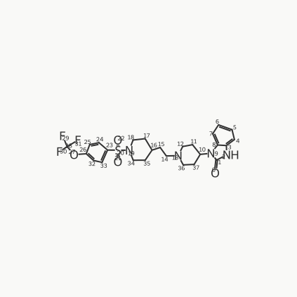 O=c1[nH]c2ccccc2n1C1CCN(CCC2CCN(S(=O)(=O)c3ccc(OC(F)(F)F)cc3)CC2)CC1